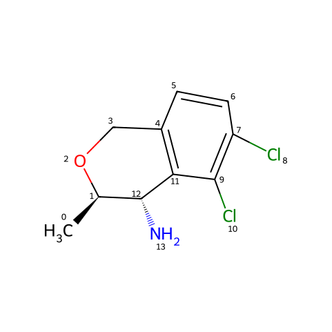 C[C@H]1OCc2ccc(Cl)c(Cl)c2[C@@H]1N